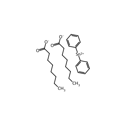 CCCCCCCC(=O)[O-].CCCCCCCC(=O)[O-].c1cc[c]([Sn+2][c]2ccccc2)cc1